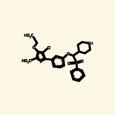 O=C(O)COc1c(C(=O)O)sc(-c2cccc(OC(C3CCNCC3)S(=O)(=O)c3ccccc3)c2)c1Cl